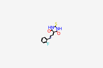 O=C1NC(=S)NC(=O)C1=C/C=C/c1ccccc1F